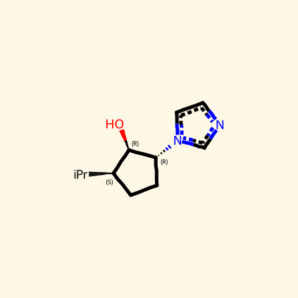 CC(C)[C@@H]1CC[C@@H](n2ccnc2)[C@@H]1O